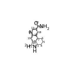 [2H]C1NC2CCCc3c2c1cc1ncc(C(N)=O)cc31